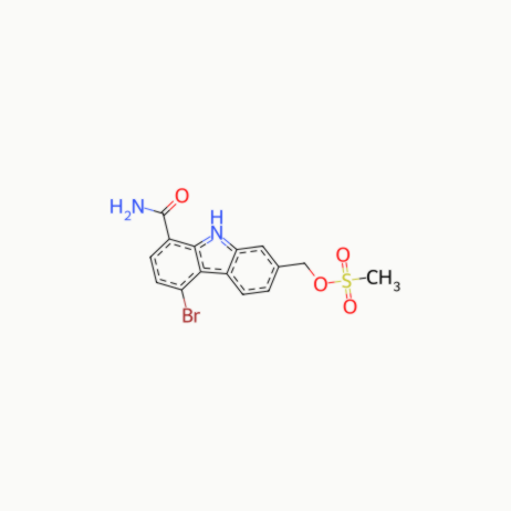 CS(=O)(=O)OCc1ccc2c(c1)[nH]c1c(C(N)=O)ccc(Br)c12